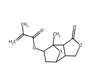 C=C(C)C(=O)OC1CC2OC1(C)C1C(=O)OCC21